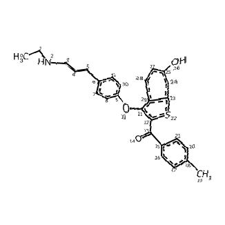 CCNCCCc1ccc(Oc2c(C(=O)c3ccc(C)cc3)sc3cc(O)ccc23)cc1